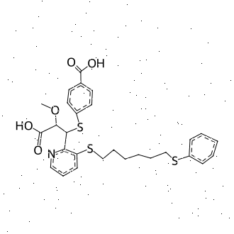 COC(C(=O)O)C(Sc1ccc(C(=O)O)cc1)c1ncccc1SCCCCCCSc1ccccc1